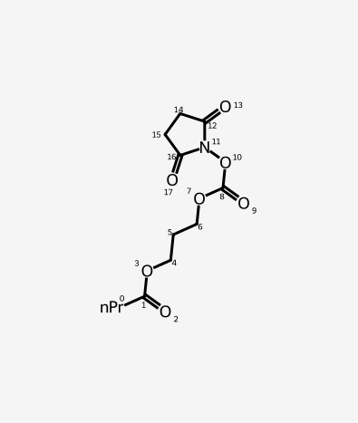 CCCC(=O)OCCCOC(=O)ON1C(=O)CCC1=O